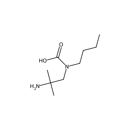 CCCCN(CC(C)(C)N)C(=O)O